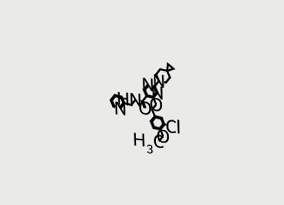 COc1ccc(COc2nc(N3CCC4(CC3)CC4)ncc2C(=O)NCc2ccccn2)cc1Cl